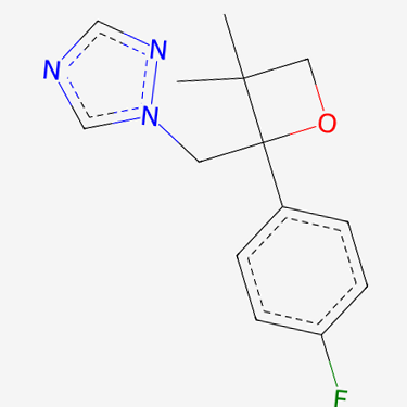 CC1(C)COC1(Cn1cncn1)c1ccc(F)cc1